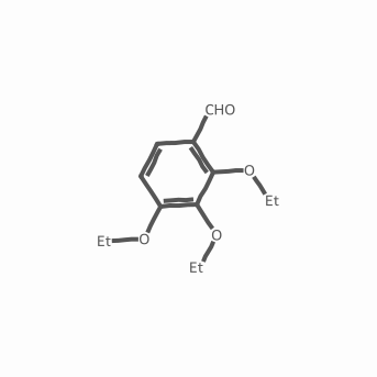 CCOc1ccc(C=O)c(OCC)c1OCC